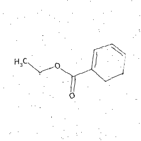 C[CH]OC(=O)C1=CC=CCC1